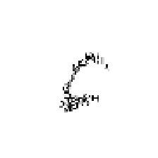 CC(C)N(C(=O)c1ccc(OCCCCCOc2ccc(C(=N)N)cc2)cc1OCC(=O)O)C(C)C